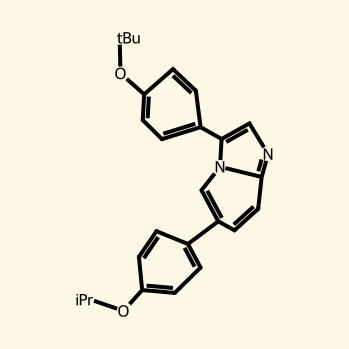 CC(C)Oc1ccc(-c2ccc3ncc(-c4ccc(OC(C)(C)C)cc4)n3c2)cc1